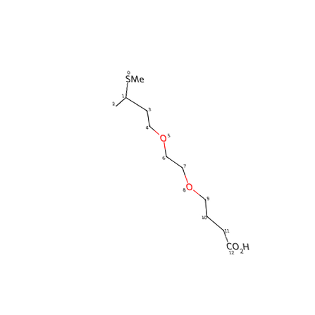 CSC(C)CCOCCOCCCC(=O)O